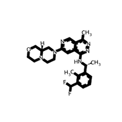 Cc1c(C(F)F)cccc1[C@@H](C)Nc1nnc(C)c2cnc(N3CCN4CCOC[C@@H]4C3)cc12